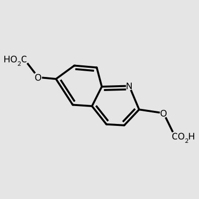 O=C(O)Oc1ccc2nc(OC(=O)O)ccc2c1